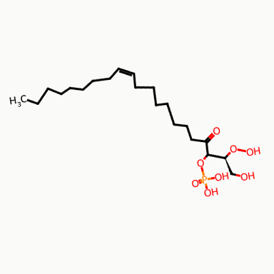 CCCCCCCC/C=C\CCCCCCCC(=O)C(OP(=O)(O)O)[C@H](CO)OO